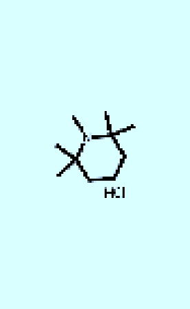 CN1C(C)(C)CCCC1(C)C.Cl